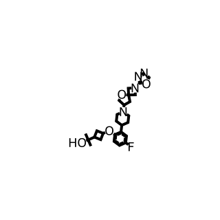 CC(C)(O)C1CC(Oc2ccc(F)cc2C2CCN(C3COC4(C3)CN(c3nnco3)C4)CC2)C1